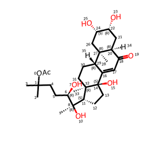 CC(=O)OC(C)(C)CC[C@@H](O)[C@](C)(O)[C@H]1CC[C@@]2(O)C3=CC(=O)[C@@H]4C[C@@H](O)[C@@H](O)C[C@]4(C)[C@H]3CC[C@]12C